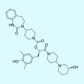 Cc1cc(C[C@@H](OC(=O)N2CCC(N3CCc4ccccc4NC3=O)CC2)C(=O)N2CCC(N3CCC[C@H](O)C3)CC2)cc(C)c1O